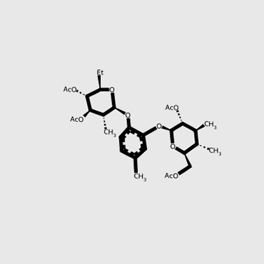 CC[C@H]1O[C@@H](Oc2ccc(C)cc2O[C@@H]2O[C@H](COC(C)=O)[C@@H](C)[C@H](C)[C@H]2OC(C)=O)[C@H](C)[C@@H](OC(C)=O)[C@@H]1OC(C)=O